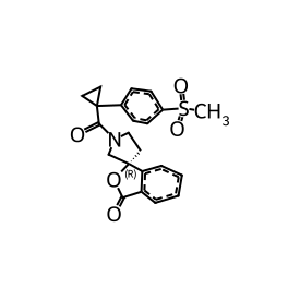 CS(=O)(=O)c1ccc(C2(C(=O)N3CC[C@@]4(C3)OC(=O)c3ccccc34)CC2)cc1